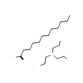 CCCCCCCCCCCC(=O)O.OCCN(CCO)CCO